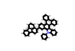 c1ccc(-n2c3ccccc3c3c4c5ccccc5c5ccccc5c4c4ccc(-c5ccc6c7c(cccc57)-c5ccccc5-6)cc4c32)cc1